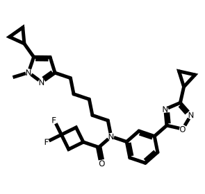 Cn1nc(CCCCCN(C(=O)C2CC(F)(F)C2)c2cccc(-c3nc(C4CC4)no3)c2)cc1C1CC1